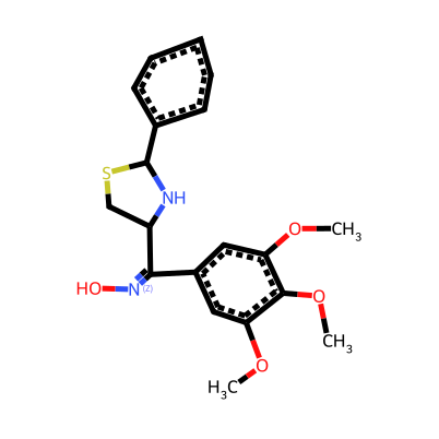 COc1cc(/C(=N/O)C2CSC(c3ccccc3)N2)cc(OC)c1OC